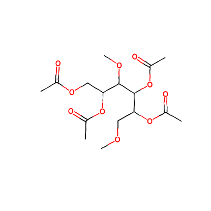 COCC(OC(C)=O)C(OC(C)=O)C(OC)C(COC(C)=O)OC(C)=O